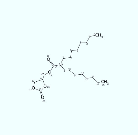 CCCCCCCCN(CCCCCCCC)C(=O)OCC1COC(=O)O1